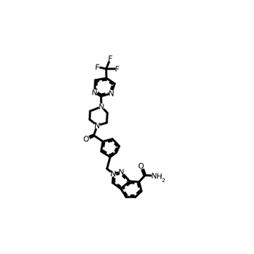 NC(=O)c1cccc2cn(Cc3cccc(C(=O)N4CCN(c5ncc(C(F)(F)F)cn5)CC4)c3)nc12